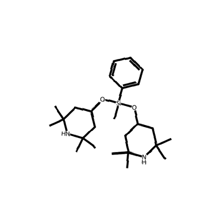 CC1(C)CC(O[Si](C)(OC2CC(C)(C)NC(C)(C)C2)c2ccccc2)CC(C)(C)N1